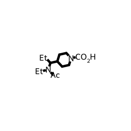 CCC(C1CCN(C(=O)O)CC1)N(CC)C(C)=O